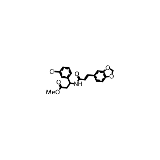 COC(=O)CC(NC(=O)/C=C/c1ccc2c(c1)OCO2)c1cccc(Cl)c1